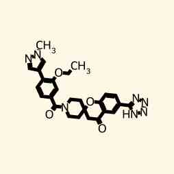 CCOc1cc(C(=O)N2CCC3(CC2)CC(=O)c2cc(-c4nnn[nH]4)ccc2O3)ccc1-c1cnn(C)c1